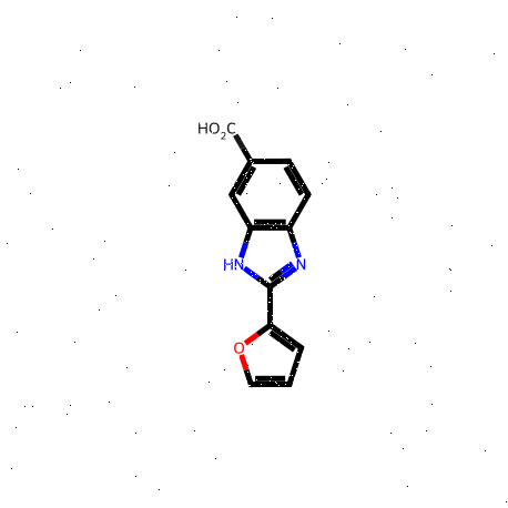 O=C(O)c1ccc2nc(-c3ccco3)[nH]c2c1